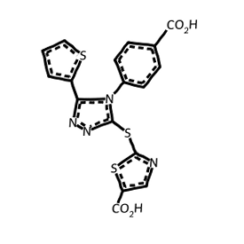 O=C(O)c1ccc(-n2c(Sc3ncc(C(=O)O)s3)nnc2-c2cccs2)cc1